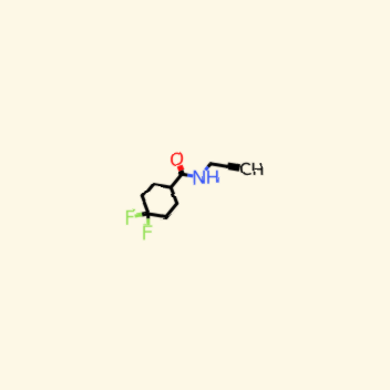 C#CCNC(=O)C1CCC(F)(F)CC1